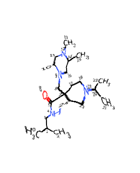 CC(C)CNC(=O)C1(CN2CCN(C)C(C)C2)CCN(C(C)C)CC1